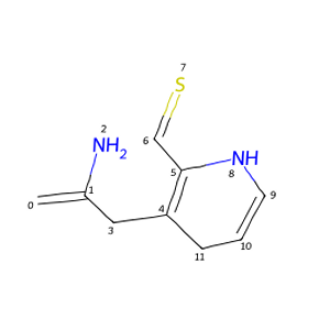 C=C(N)CC1=C(C=S)NC=CC1